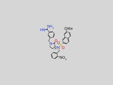 COc1ccc2ccc(S(=O)(=O)N(Cc3ccccc3[N+](=O)[O-])[C@H]3CCN(Cc4cccc(C(=N)N)c4)C3=O)cc2c1